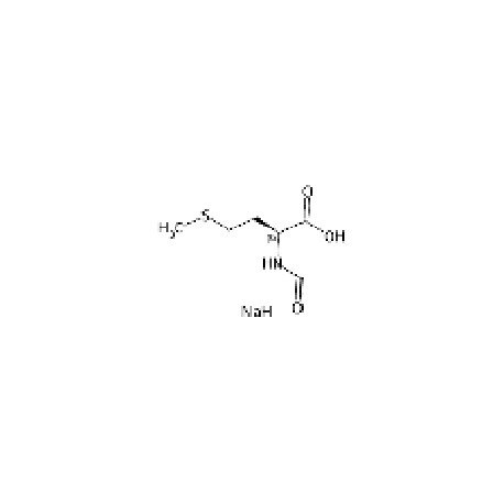 CSCC[C@H](NC=O)C(=O)O.[NaH]